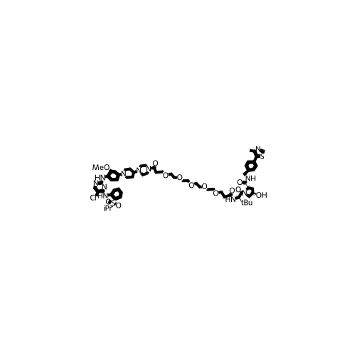 COc1cc(N2CCC(N3CCN(C(=O)CCOCCOCCOCCOCCOCCC(=O)N[C@H](C(=O)N4C[C@H](O)C[C@H]4C(=O)NCc4ccc(-c5scnc5C)cc4)C(C)(C)C)CC3)CC2)ccc1Nc1ncc(Cl)c(Nc2ccccc2S(=O)(=O)C(C)C)n1